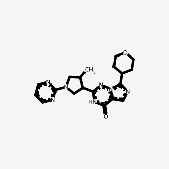 CC1CN(c2ncccn2)CC1c1nn2c(C3CCOCC3)ncc2c(=O)[nH]1